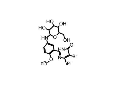 CCCOc1ccc(NC2OC(CO)C(O)C(O)C2O)cc1-c1nc(C(C)C)c(Br)c(=O)[nH]1